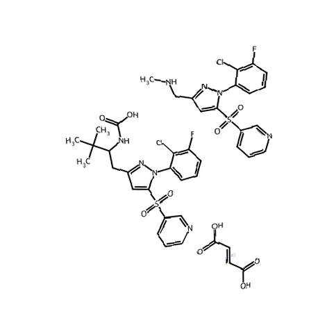 CC(C)(C)C(Cc1cc(S(=O)(=O)c2cccnc2)n(-c2cccc(F)c2Cl)n1)NC(=O)O.CNCc1cc(S(=O)(=O)c2cccnc2)n(-c2cccc(F)c2Cl)n1.O=C(O)/C=C/C(=O)O